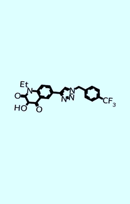 CCN1C(=O)C(O)C(=O)c2cc(-c3cn(Cc4ccc(C(F)(F)F)cc4)nn3)ccc21